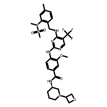 COc1cc(C(=O)N[C@@H]2CCCN(C3COC3)C2)ccc1Nc1ncc(C(F)(F)F)c(NCc2ccc(C)cc2N(C)S(C)(=O)=O)n1